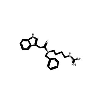 N=C(N)NCCCCN(Cc1ccccc1)C(=O)Cc1c[nH]c2ccccc12